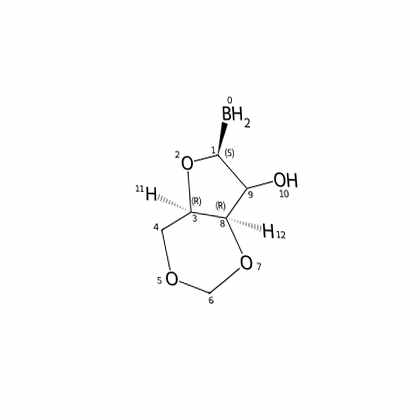 B[C@@H]1O[C@@H]2COCO[C@@H]2C1O